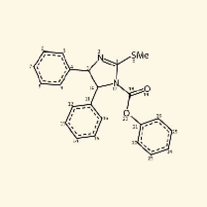 CSC1=NC(c2ccccc2)C(c2ccccc2)N1C(=O)Oc1ccccc1